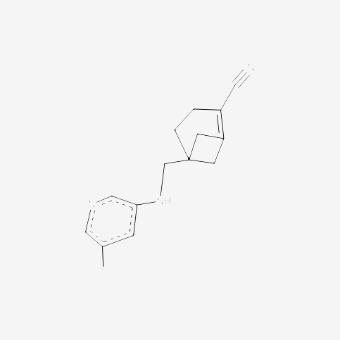 N#CC1=C2CC(CNc3cncc(Br)c3)(CC1)C2